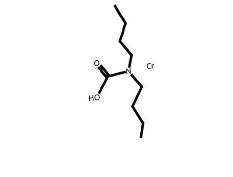 CCCCN(CCCC)C(=O)O.[Cr]